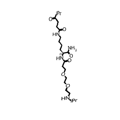 CC(C)NCCOCCOCCC(=O)N[C@@H](CCCCNC(=O)CCC(=O)C(C)C)C(N)=O